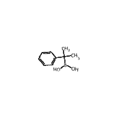 CC(C)(B(O)O)c1ccccc1